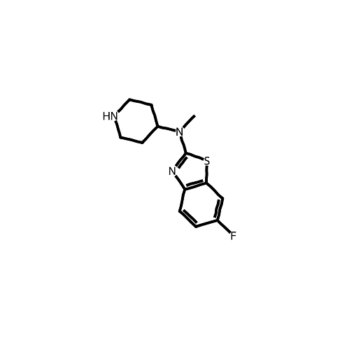 CN(c1nc2ccc(F)cc2s1)C1CCNCC1